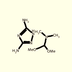 COC(OC)N(C)C.Nc1n[nH]c(N)n1